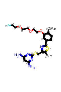 CCCc1sc(-c2ccc(OC)c(OCCOCCOCCF)c2)nc1CSc1nc(N)cc(N)n1